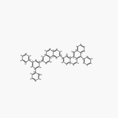 c1ccc(-c2c3ccccc3nc3c2ccc2ccc(-c4ccc5ccc6cc(-c7cc(-c8ccccn8)cc(-c8ccccn8)c7)ccc6c5c4)nc23)cc1